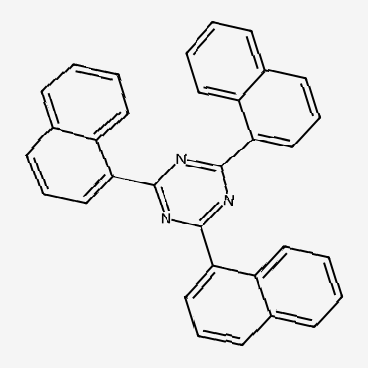 c1ccc2c(-c3nc(-c4cccc5ccccc45)nc(-c4cccc5ccccc45)n3)cccc2c1